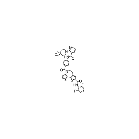 O=C(Nc1c(F)cccc1F)c1cc2c(s1)-c1sccc1N(C(=O)c1ccc(NC(=O)c3cccnc3N3CCC4(CC3)COC4)cc1)CC2